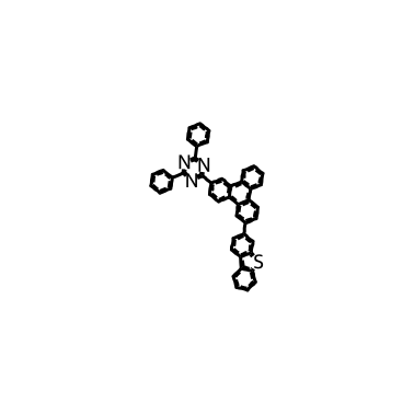 c1ccc(-c2nc(-c3ccccc3)nc(-c3ccc4c5cc(-c6ccc7c(c6)sc6ccccc67)ccc5c5ccccc5c4c3)n2)cc1